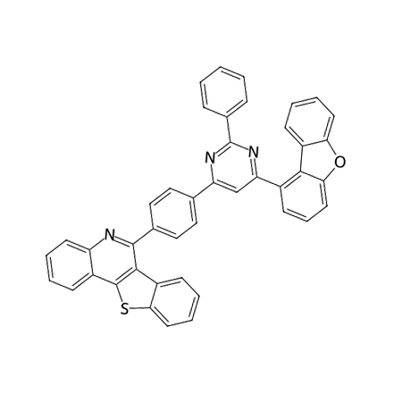 c1ccc(-c2nc(-c3ccc(-c4nc5ccccc5c5sc6ccccc6c45)cc3)cc(-c3cccc4oc5ccccc5c34)n2)cc1